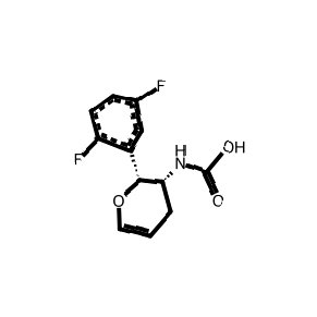 O=C(O)N[C@@H]1CC=CO[C@@H]1c1cc(F)ccc1F